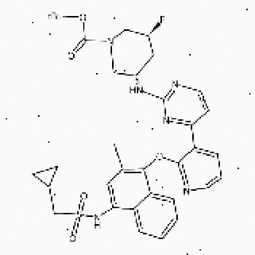 Cc1cc(NS(=O)(=O)CC2CC2)c2ccccc2c1Oc1ncccc1-c1ccnc(N[C@H]2C[C@H](F)CN(C(=O)OC(C)(C)C)C2)n1